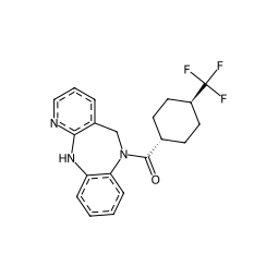 O=C([C@H]1CC[C@H](C(F)(F)F)CC1)N1Cc2cccnc2Nc2ccccc21